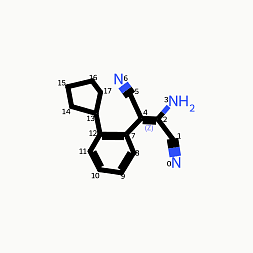 N#C/C(N)=C(/C#N)c1ccc[c]c1C1CCCC1